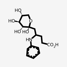 O=C(O)CCC(C[C@]1(O)OC[C@@H](O)[C@H](O)[C@H]1O)Nc1ccccc1